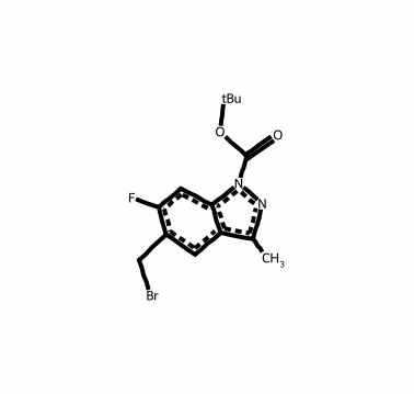 Cc1nn(C(=O)OC(C)(C)C)c2cc(F)c(CBr)cc12